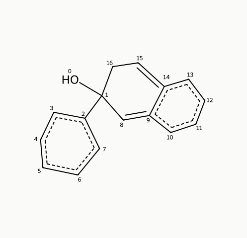 OC1(c2ccccc2)C=c2ccccc2=CC1